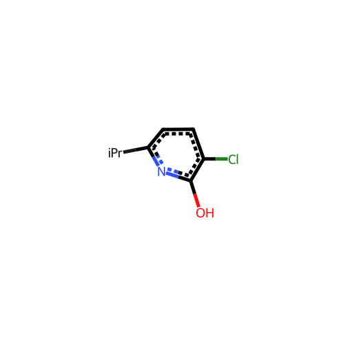 CC(C)c1ccc(Cl)c(O)n1